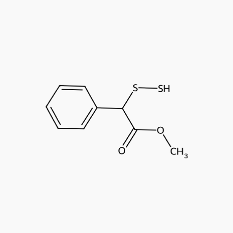 COC(=O)C(SS)c1ccccc1